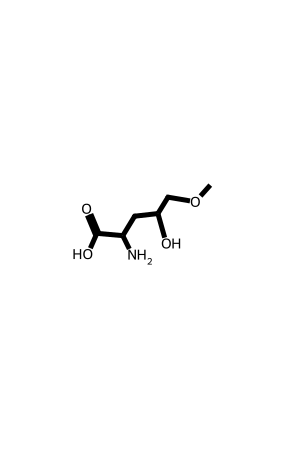 COCC(O)CC(N)C(=O)O